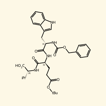 CC(C)[C@@H](NC(=O)[C@H](CCC(=O)OC(C)(C)C)NC(=O)[C@H](Cc1c[nH]c2ccccc12)NC(=O)OCc1ccccc1)C(=O)O